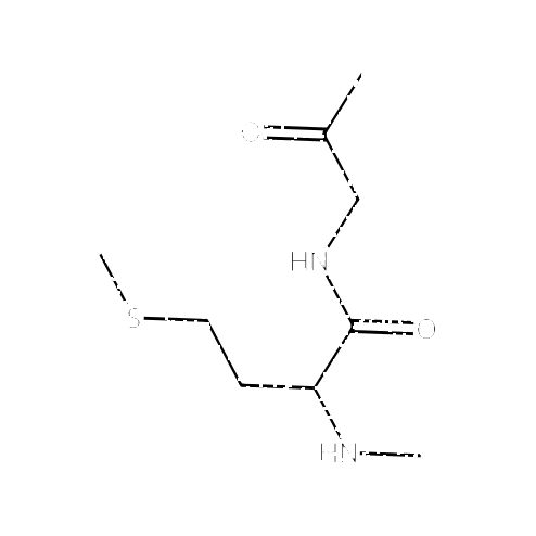 CNC(CCSC)C(=O)NCC(C)=O